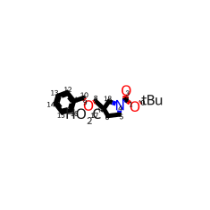 CC(C)(C)OC(=O)N1CC[C@](COCc2ccccc2)(C(=O)O)C1